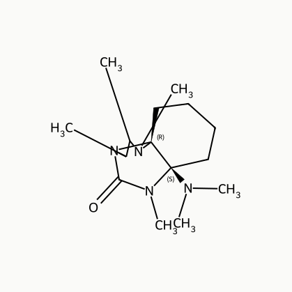 CC1C(C)N2C(=O)N(C)[C@@]3(N(C)C)CCCC[C@@]23N1C